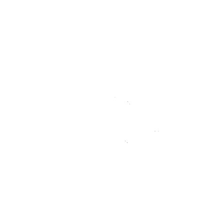 CCCCC1CCN(C(=O)c2cc3ccccc3s2)C1CN